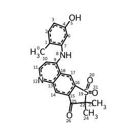 Cc1ccc(O)cc1Nc1ccnc2cc3c(cc12)S(=O)(=O)C(C)(C)C3=O